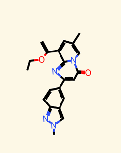 C=C(OCC)c1cc(C)cn2c(=O)cc(-c3ccc4nn(C)cc4c3)nc12